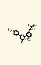 CC(C)C(=O)NCc1ccc(Cl)c(-c2nc(-c3ccc(C(F)(F)F)nc3)cc(=O)[nH]2)c1